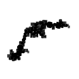 CCc1c2c(nc3ccc(OC(=O)OCCSSC[C@@H](C=O)NC(=O)[C@H](CC(=O)O)NC(=O)[C@H](CCCNC(=N)N)NC(=O)[C@H](CC(=O)O)NC(=O)CC[C@@H](NC(=O)c4ccc(NCc5cnc6nc(N)[nH]c(=O)c6n5)cc4)C(=O)O)cc13)-c1cc3c(c(=O)n1C2)COC(=O)[C@]3(O)CC